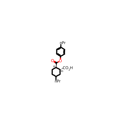 CCCc1ccc(OC(=O)[C@@H]2CCC(CCC)C[C@H]2C(=O)O)cc1